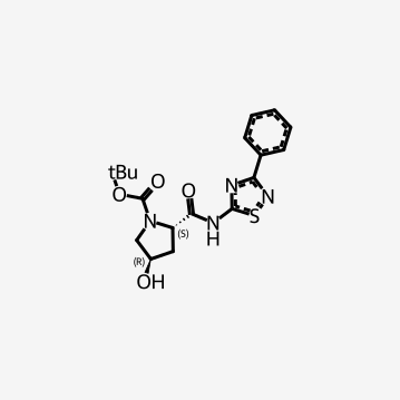 CC(C)(C)OC(=O)N1C[C@H](O)C[C@H]1C(=O)Nc1nc(-c2ccccc2)ns1